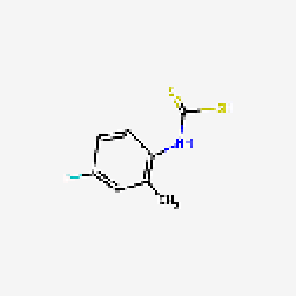 Cc1cc(F)ccc1NC(=S)S